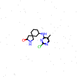 Cc1cnc(Cl)nc1NC1CCCC2(CNC(=O)C2)C1